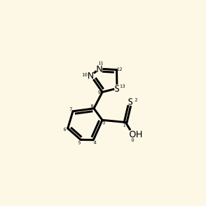 OC(=S)c1ccccc1-c1nncs1